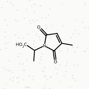 CC1=CC(=O)N(C(C)C(=O)O)C1=O